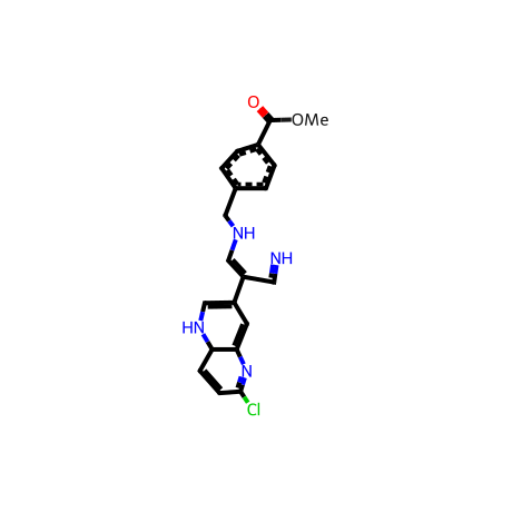 COC(=O)c1ccc(CN/C=C(\C=N)C2=CNC3C=CC(Cl)=NC3=C2)cc1